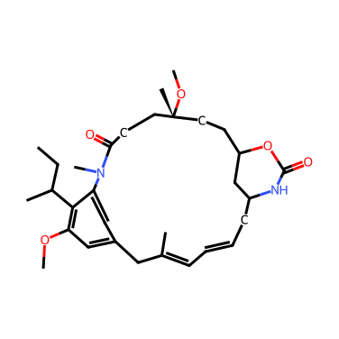 CCC(C)c1c(OC)cc2cc1N(C)C(=O)CC[C@](C)(OC)CCC1CC(C/C=C/C=C(\C)C2)NC(=O)O1